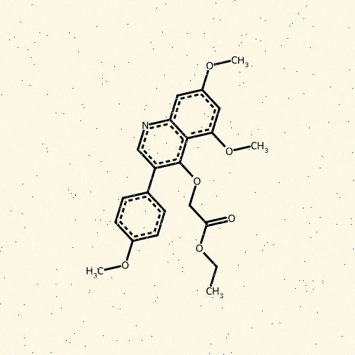 CCOC(=O)COc1c(-c2ccc(OC)cc2)cnc2cc(OC)cc(OC)c12